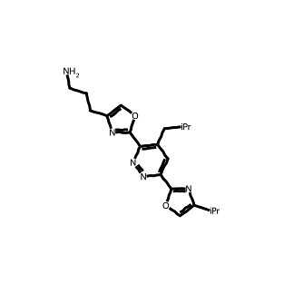 CC(C)Cc1cc(-c2nc(C(C)C)co2)nnc1-c1nc(CCCN)co1